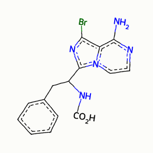 Nc1nccn2c(C(Cc3ccccc3)NC(=O)O)nc(Br)c12